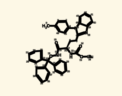 Cc1ccc(-n2c(CC[C@@H](NC(=O)OC(C)(C)C)C(=O)NOC(c3ccccc3)(c3ccccc3)c3ccccc3)nc3ccccc32)cc1